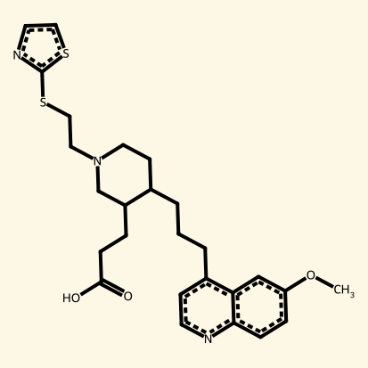 COc1ccc2nccc(CCCC3CCN(CCSc4nccs4)CC3CCC(=O)O)c2c1